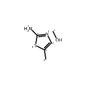 CO.Cc1cnc(N)s1